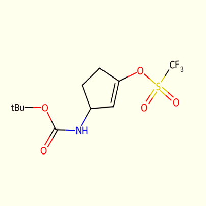 CC(C)(C)OC(=O)NC1C=C(OS(=O)(=O)C(F)(F)F)CC1